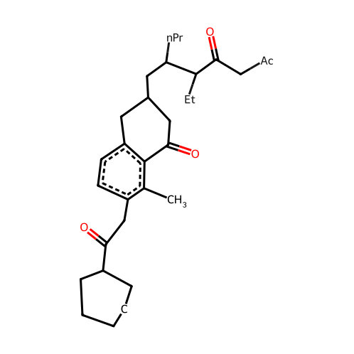 CCCC(CC1CC(=O)c2c(ccc(CC(=O)C3CCCCC3)c2C)C1)C(CC)C(=O)CC(C)=O